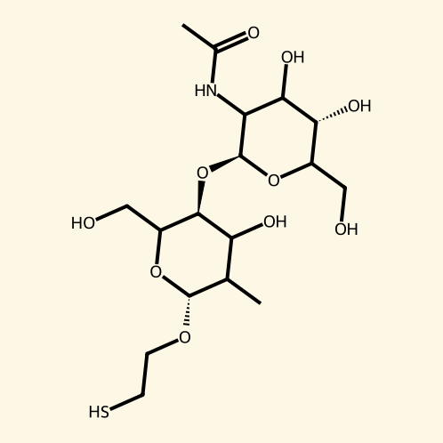 CC(=O)NC1C(O)[C@H](O)C(CO)O[C@H]1O[C@@H]1C(CO)O[C@@H](OCCS)C(C)C1O